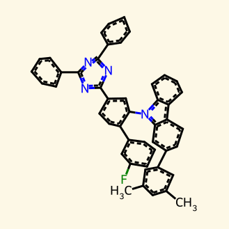 Cc1cc(C)cc(-c2ccc3c4ccccc4n(-c4cc(-c5nc(-c6ccccc6)nc(-c6ccccc6)n5)ccc4-c4cccc(F)c4)c3c2)c1